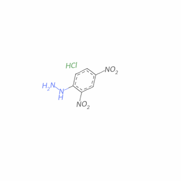 Cl.NNc1ccc([N+](=O)[O-])cc1[N+](=O)[O-]